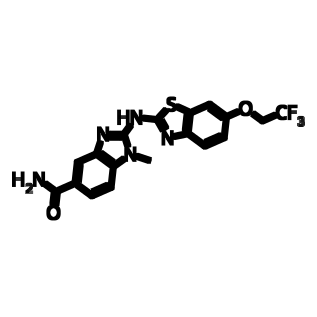 Cn1c(Nc2nc3ccc(OCC(F)(F)F)cc3s2)nc2cc(C(N)=O)ccc21